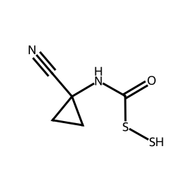 N#CC1(NC(=O)SS)CC1